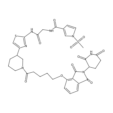 CS(=O)(=O)n1ccc(C(=O)NCC(=O)Nc2nc(C3CCCN(C(=O)CCCCOc4cccc5c4C(=O)N(C4CCC(=O)NC4=O)C5=O)C3)cs2)c1